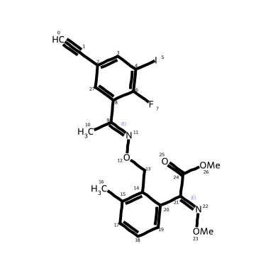 C#Cc1cc(I)c(F)c(/C(C)=N/OCc2c(C)cccc2/C(=N\OC)C(=O)OC)c1